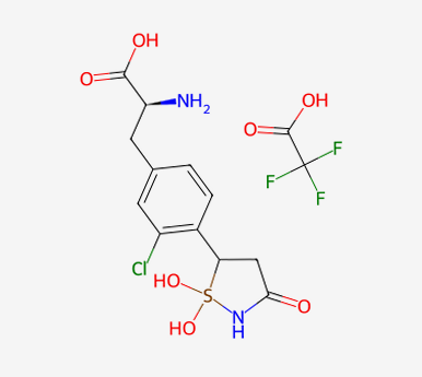 N[C@@H](Cc1ccc(C2CC(=O)NS2(O)O)c(Cl)c1)C(=O)O.O=C(O)C(F)(F)F